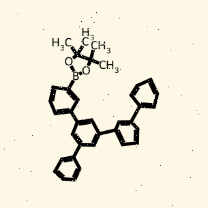 CC1(C)OB(c2cccc(-c3cc(-c4ccccc4)cc(-c4cccc(-c5ccccc5)c4)c3)c2)OC1(C)C